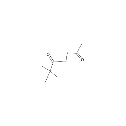 CC(=O)CCC(=O)C(C)(C)C